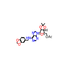 CC(=O)OC[C@H]1O[C@@H](n2cnc3c(NCc4ccc5c(c4)OCO5)ncnc32)C2OC(C)(C)O[C@H]21